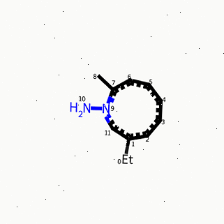 CCc1cccccc(C)n(N)c1